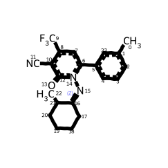 Cc1cccc(-c2cc(C(F)(F)F)c(C#N)c(=O)n2/N=C2/CCCCC2C)c1